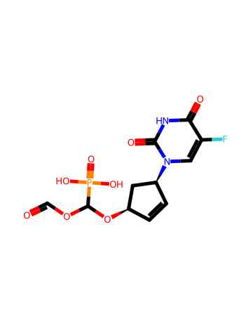 O=COC(O[C@@H]1C=C[C@H](n2cc(F)c(=O)[nH]c2=O)C1)P(=O)(O)O